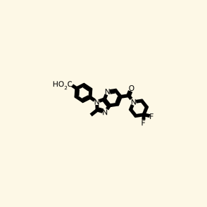 Cc1nc2cc(C(=O)N3CCC(F)(F)CC3)cnc2n1-c1ccc(C(=O)O)cc1